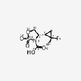 O=C(O)N1[C@@H](C2CC2(F)F)COS1(=O)=O